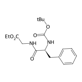 CCOC(=O)CNC(=O)[C@H](Cc1ccccc1)NC(=O)OC(C)(C)C